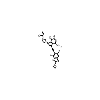 C=CC(=O)N1CC[C@H](n2cc(C#Cc3c(F)cc4oc(N5CCC5)nc4c3F)c3c(N)n[nH]c(=O)c32)C1